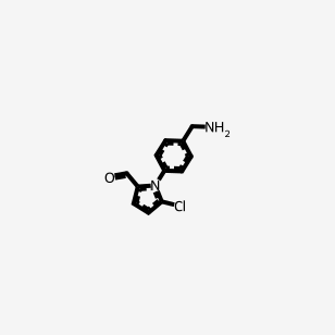 NCc1ccc(-n2c(Cl)ccc2C=O)cc1